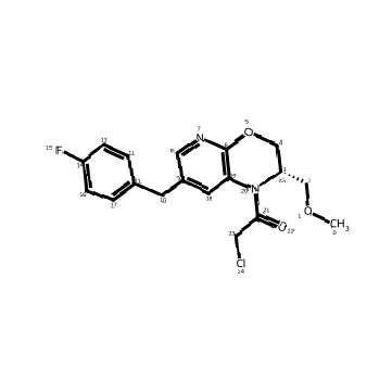 COC[C@H]1COc2ncc(Cc3ccc(F)cc3)cc2N1C(=O)CCl